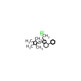 CCC1=CC2=C(CCCC2c2ccccc2)[CH]1[Zr+2][C]1=C(C)C(C)=C(C)C1C.[Cl-].[Cl-]